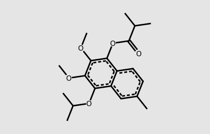 COc1c(OC)c(OC(C)C)c2cc(C)ccc2c1OC(=O)C(C)C